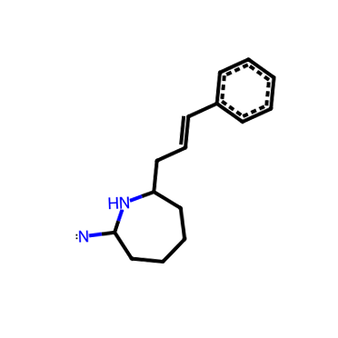 [N]C1CCCCC(CC=Cc2ccccc2)N1